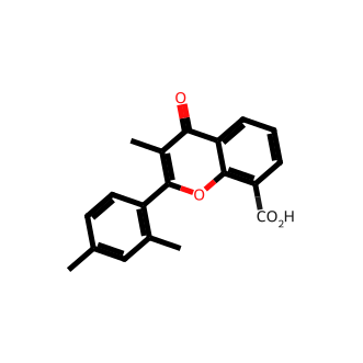 Cc1ccc(-c2oc3c(C(=O)O)cccc3c(=O)c2C)c(C)c1